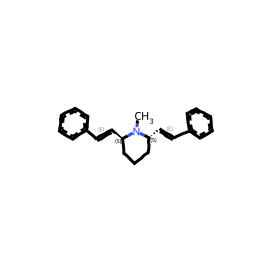 CN1[C@H](/C=C/c2ccccc2)CCC[C@H]1/C=C/c1ccccc1